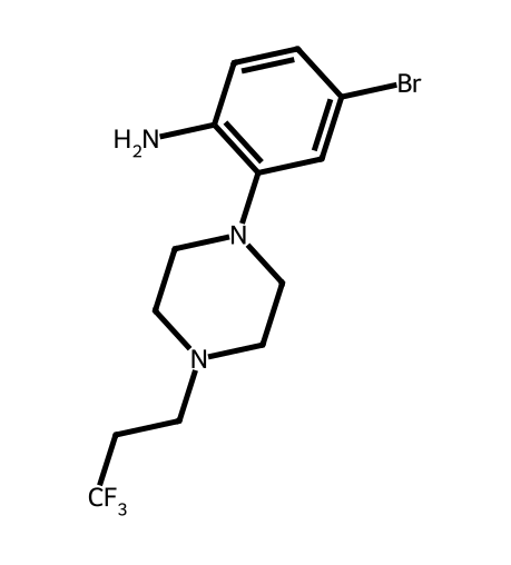 Nc1ccc(Br)cc1N1CCN(CCC(F)(F)F)CC1